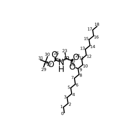 CCCCCCCCCC(CCCCCCCCC)OC(=O)[C@H](C)NC(=O)OC(C)(C)C